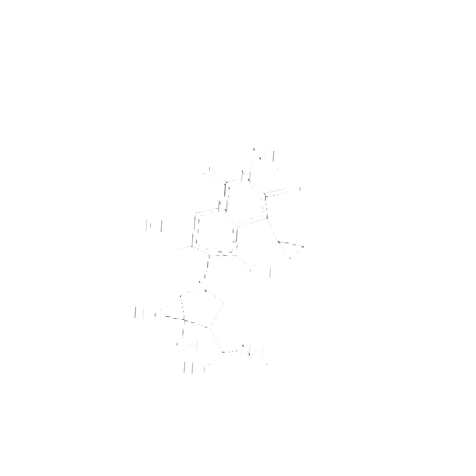 Cc1c(N2CC(C(C)N)C(C)(C)C2)c(F)cn2c(=O)n(N)c(=O)c(C3CC3)c12.Cl